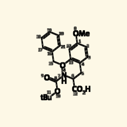 COc1ccc(CC(NC(=O)OC(C)(C)C)C(=O)O)c(OCc2ccccc2)c1